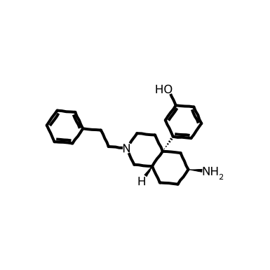 N[C@H]1CC[C@@H]2CN(CCc3ccccc3)CC[C@@]2(c2cccc(O)c2)C1